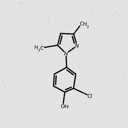 Cc1cc(C)n(-c2ccc(O)c(Cl)c2)n1